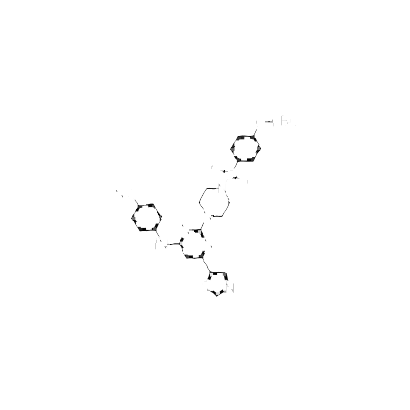 CCCCOc1ccc(S(=O)(=O)N2CCN(c3nc(Nc4ccc(C#N)cc4)cc(-c4cncs4)n3)CC2)cc1